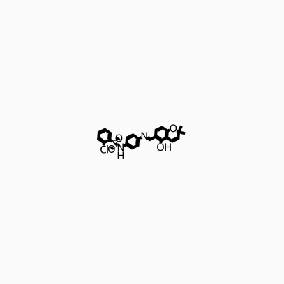 CC1(C)C=Cc2c(ccc(/C=N/c3ccc(NS(=O)(=O)c4ccccc4Cl)cc3)c2O)O1